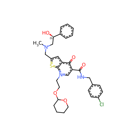 CN(Cc1cc2c(=O)c(C(=O)NCc3ccc(Cl)cc3)cn(CCOC3CCCCO3)c2s1)C[C@@H](O)c1ccccc1